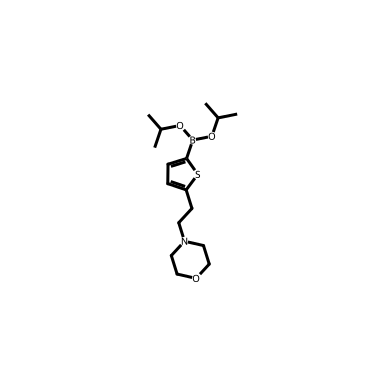 CC(C)OB(OC(C)C)c1ccc(CCN2CCOCC2)s1